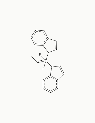 C[CH]=[Ti]([F])([F])([CH]1C=Cc2ccccc21)[CH]1C=Cc2ccccc21